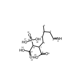 CC(CC=N)CCC(C(=O)O)C(C(=O)O)P(=O)(O)O